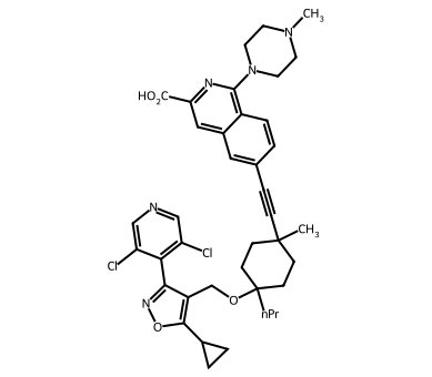 CCCC1(OCc2c(-c3c(Cl)cncc3Cl)noc2C2CC2)CCC(C)(C#Cc2ccc3c(N4CCN(C)CC4)nc(C(=O)O)cc3c2)CC1